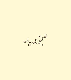 CCN/C(S)=C/N=C(\CC)C/C(CC)=N/C=C(\S)NCC